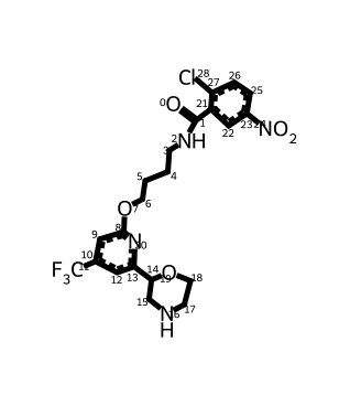 O=C(NCCCCOc1cc(C(F)(F)F)cc(C2CNCCO2)n1)c1cc([N+](=O)[O-])ccc1Cl